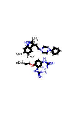 CCCCCCCCCCCCOc1ccc(NC(=N)N)cc1NC(=N)N.COc1cc2[nH]c(C)c(CCN3CCN(c4ccccc4)CC3)c2cc1OC